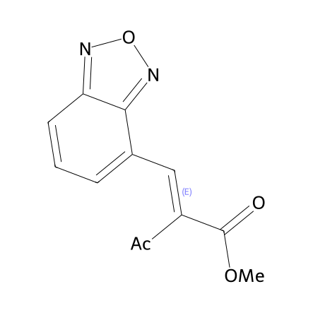 COC(=O)/C(=C/c1cccc2nonc12)C(C)=O